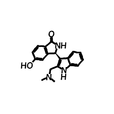 CN(C)Cc1[nH]c2ccccc2c1[C@@H]1NC(=O)c2ccc(O)cc21